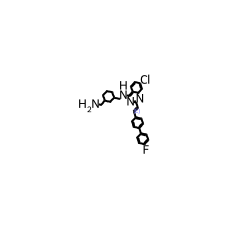 NCC1CCCC(CNc2nc(/C=C/c3ccc(-c4ccc(F)cc4)cc3)nc3cc(Cl)ccc23)C1